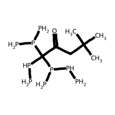 CC(C)(C)CC(=O)C(PP)(P(P)P)P(P)PP